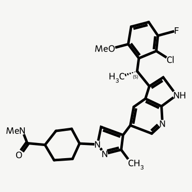 CNC(=O)C1CCC(n2cc(-c3cnc4[nH]cc([C@H](C)c5c(OC)ccc(F)c5Cl)c4c3)c(C)n2)CC1